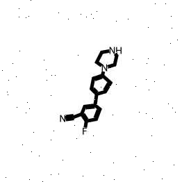 N#Cc1cc(-c2ccc(N3CCNCC3)cc2)ccc1F